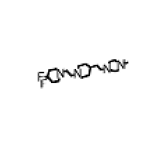 CN1CCN(CCC2CCN(CCN3CCC(F)(F)CC3)CC2)CC1